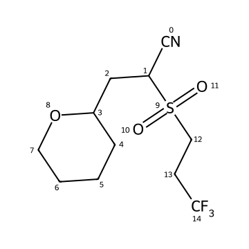 N#CC(CC1CCCCO1)S(=O)(=O)CCC(F)(F)F